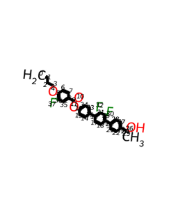 C=CCCOc1ccc(C(=O)Oc2ccc(-c3ccc(-c4ccc(C(C)O)cc4)c(F)c3F)cc2)cc1F